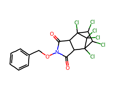 O=C1C2C(C(=O)N1OCc1ccccc1)C1(Cl)C(Cl)C(Cl)C2(Cl)C1(Cl)Cl